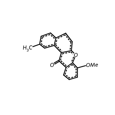 COc1cccc2c(=O)c3c(ccc4ccc(C)cc43)oc12